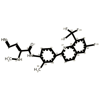 CN/C(=C\C=N)C(=O)Nc1ccc(-c2ccc3cc(F)cc(C(F)(F)F)c3n2)cc1C